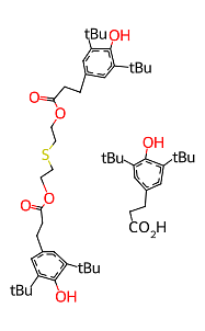 CC(C)(C)c1cc(CCC(=O)O)cc(C(C)(C)C)c1O.CC(C)(C)c1cc(CCC(=O)OCCSCCOC(=O)CCc2cc(C(C)(C)C)c(O)c(C(C)(C)C)c2)cc(C(C)(C)C)c1O